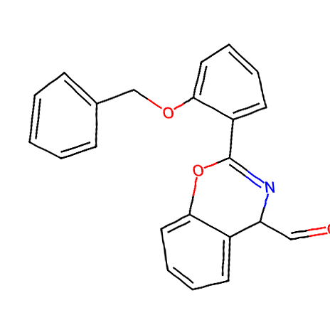 O=CC1N=C(c2ccccc2OCc2ccccc2)Oc2ccccc21